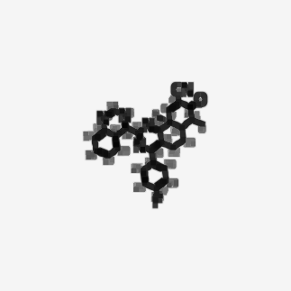 CC1C(=O)C(C#N)=C[C@@]2(C)c3nc(-c4ncnc5ccccc45)nc(-c4ccc(F)cc4)c3CCC12